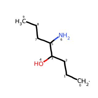 [CH2]CCC(O)C(N)CCC